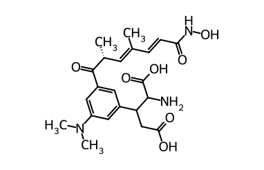 CC(/C=C/C(=O)NO)=C\[C@@H](C)C(=O)c1cc(C(CC(=O)O)C(N)C(=O)O)cc(N(C)C)c1